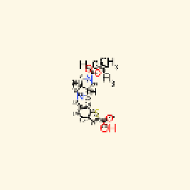 CC(C)(C)OC(=O)N1C[C@H]2CN(Cc3ccc4cc(C(=O)O)sc4c3)C[C@H]2C1